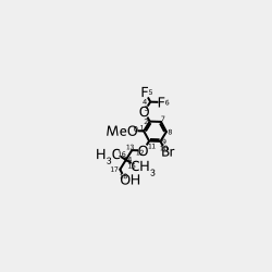 COc1c(OC(F)F)ccc(Br)c1OCC(C)(C)CO